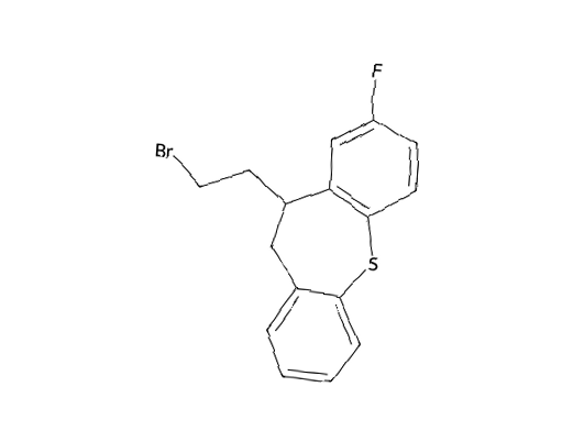 Fc1ccc2c(c1)C(CCBr)Cc1ccccc1S2